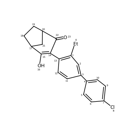 CCc1cc(-c2ccc(Cl)cc2)ccc1C1=C(O)C2CCC(C2)C1=O